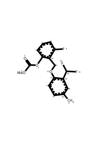 COC(=O)Oc1cccc(F)c1COc1ccc(C)cc1C(F)F